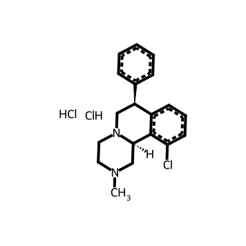 CN1CCN2C[C@@H](c3ccccc3)c3cccc(Cl)c3[C@H]2C1.Cl.Cl